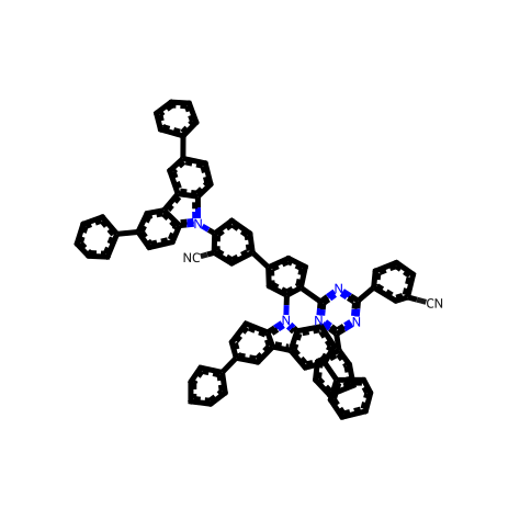 N#Cc1cccc(-c2nc(-c3ccccc3)nc(-c3ccc(-c4ccc(-n5c6ccc(-c7ccccc7)cc6c6cc(-c7ccccc7)ccc65)c(C#N)c4)cc3-n3c4ccc(-c5ccccc5)cc4c4cc(-c5ccccc5)ccc43)n2)c1